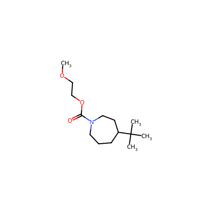 COCCOC(=O)N1CCCC(C(C)(C)C)CC1